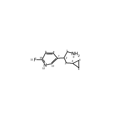 NCC(CC1CC1)c1ccc(F)nc1